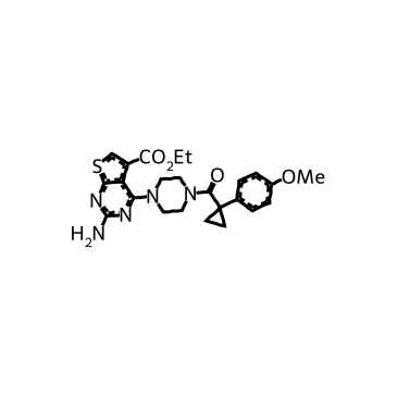 CCOC(=O)c1csc2nc(N)nc(N3CCN(C(=O)C4(c5ccc(OC)cc5)CC4)CC3)c12